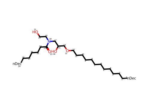 CCCCCCCCCCCCCCCCCCCCCCOCC(O)CN(CCO)C(=O)CCCCCCCCCCCCCCC